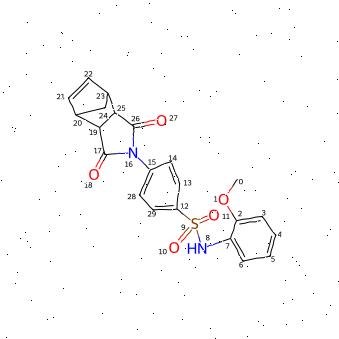 COc1ccccc1NS(=O)(=O)c1ccc(N2C(=O)C3C4C=CC(C4)C3C2=O)cc1